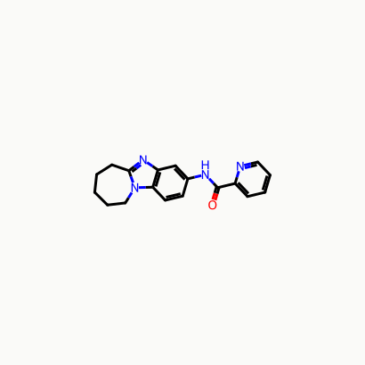 O=C(Nc1ccc2c(c1)nc1n2CCCCC1)c1ccccn1